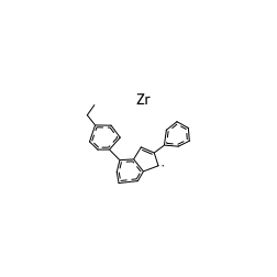 CCc1ccc(-c2cccc3c2C=C(c2ccccc2)[CH]3)cc1.[Zr]